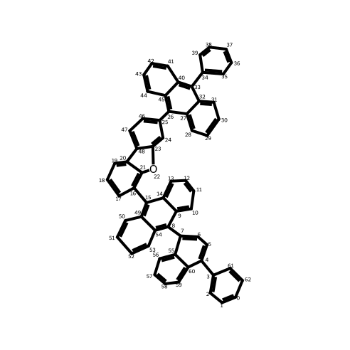 c1ccc(-c2ccc(-c3c4ccccc4c(-c4cccc5c4oc4cc(-c6c7ccccc7c(-c7ccccc7)c7ccccc67)ccc45)c4ccccc34)c3ccccc23)cc1